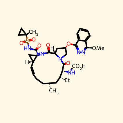 CC[C@@H]1C[C@H](C)CC/C=C\[C@@H]2C[C@@]2(C(=O)NS(=O)(=O)C2(C)CC2)NC(=O)[C@@H]2C[C@@H](Oc3nnc(OC)c4ccccc34)CN2C(=O)[C@H]1NC(=O)O